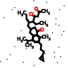 CCCC(CC1CC(=O)c2c(C)c(CCCC3CC3)cc(C(C)C)c2C1)C(CC)C(=O)CC(C)=O